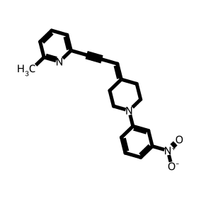 Cc1cccc(C#CC=C2CCN(c3cccc([N+](=O)[O-])c3)CC2)n1